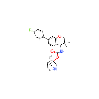 Cc1cc(F)ccc1-c1ccc2c(c1)OCC(C)(C)C2NC(=O)O[C@H]1CN2CCC1CC2